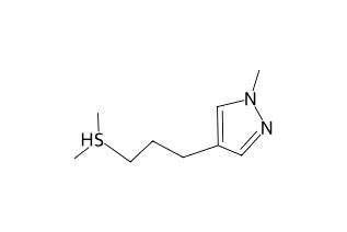 Cn1cc(CCC[SH](C)C)cn1